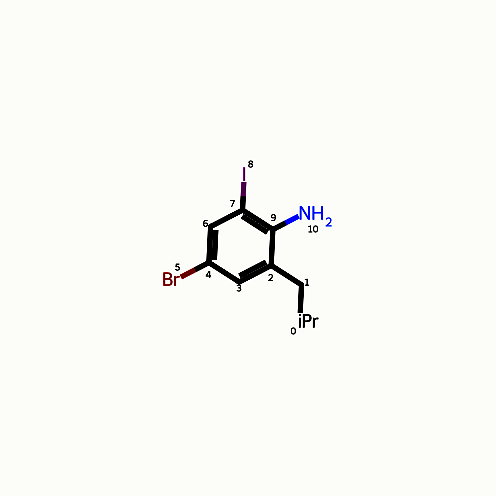 CC(C)Cc1cc(Br)cc(I)c1N